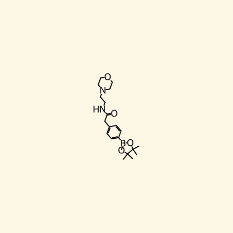 CC1(C)OB(c2ccc(CC(=O)NCCN3CCOCC3)cc2)OC1(C)C